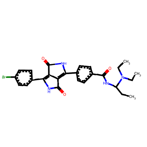 CCC(NC(=O)c1ccc(C2=C3C(=O)NC(c4ccc(Br)cc4)=C3C(=O)N2)cc1)N(CC)CC